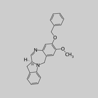 COc1cc2c(cc1OCc1ccccc1)N=C[C@@H]1Cc3ccccc3N1C2